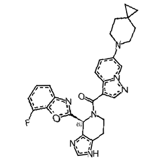 O=C(c1cnn2cc(N3CCC4(CC3)CC4)ccc12)N1CCc2[nH]cnc2[C@H]1c1nc2cccc(F)c2o1